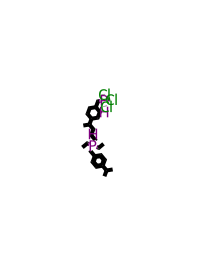 CC[PH](CC)(CCCC(C)C1CCC(C[PH](Cl)(Cl)Cl)CC1)Cc1ccc(C(C)C)cc1